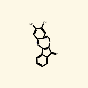 N#Cc1cc2/c(cc1C#N)=C/CCC1=C(\N=2)c2ccccc2C1=O